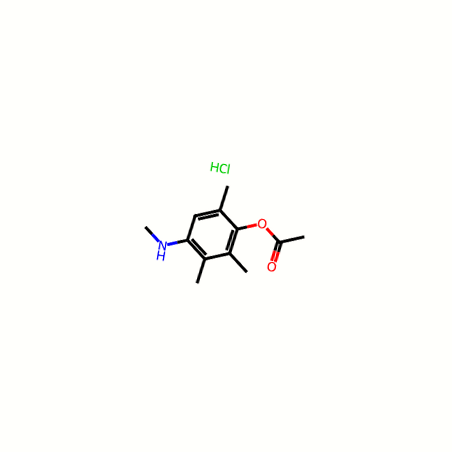 CNc1cc(C)c(OC(C)=O)c(C)c1C.Cl